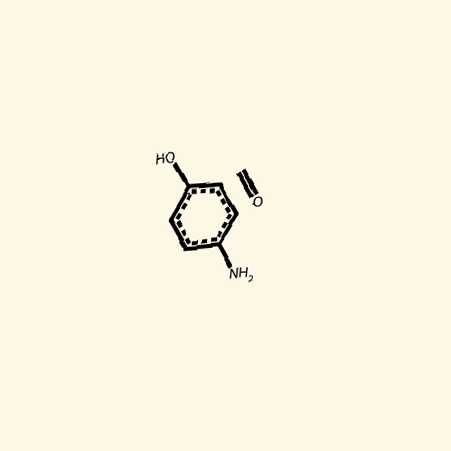 C=O.Nc1ccc(O)cc1